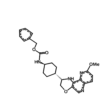 COc1ccc2ncc3c(c2n1)NC([C@H]1CC[C@H](NC(=O)OCc2ccccc2)CC1)CO3